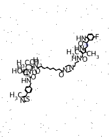 Cc1ncsc1-c1ccc(CNC(=O)[C@@H]2C[C@@H](O)CN2C(=O)[C@@H](NC(=O)CCCCCCCC(=O)N2CCN(CCCNC(=O)c3c(C)[nH]c(/C=C4\C(=O)Nc5ccc(F)cc54)c3C)CC2)C(C)(C)C)cc1